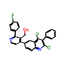 OCc1c(-c2ccc3nc(Cl)c(-c4ccccc4)c(Cl)c3c2)ccnc1-c1ccc(F)cc1